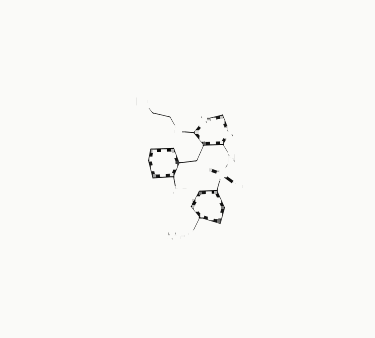 CSc1ccc(S(=O)(=O)Nc2ncnc(OCCO)c2Cc2ccccc2C(F)(F)F)cc1